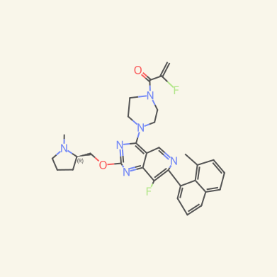 C=C(F)C(=O)N1CCN(c2nc(OC[C@H]3CCCN3C)nc3c(F)c(-c4cccc5cccc(C)c45)ncc23)CC1